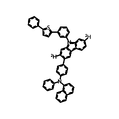 [2H]c1ccc2c3cc(-c4ccc(N(c5ccccc5)c5cccc6ccccc56)cc4)c([2H])cc3n(-c3cccc(-c4ccc(-c5ccccc5)s4)c3)c2c1